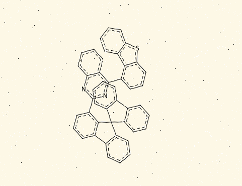 c1ccc2c(c1)-c1ccccc1C21c2ccccc2-c2cccc(-c3nc(-c4cccc5sc6ccccc6c45)c4ccccc4n3)c21